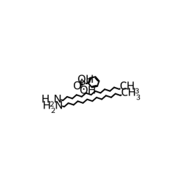 CCCCCCCCCCCCCCN.CCCCCCCCCCCCCCN.O=P(O)(O)c1ccccc1